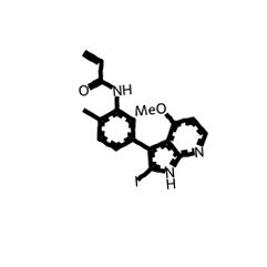 C=CC(=O)Nc1cc(-c2c(I)[nH]c3nccc(OC)c23)ccc1C